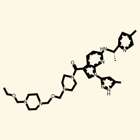 CCOCN1CCN(COCN2CCN(C(=O)c3cn(-c4cc(C)[nH]n4)c4nc(N[C@@H](C)c5ccc(C)cn5)ccc34)CC2)CC1